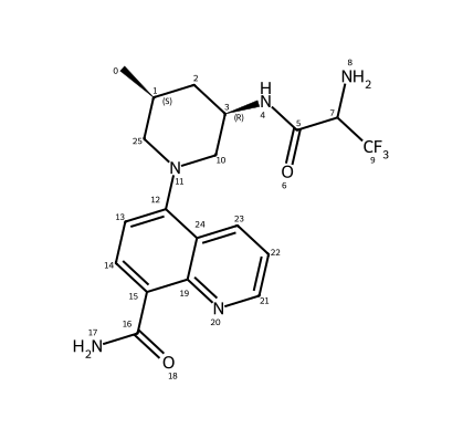 C[C@H]1C[C@@H](NC(=O)C(N)C(F)(F)F)CN(c2ccc(C(N)=O)c3ncccc23)C1